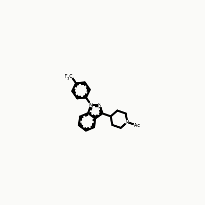 CC(=O)N1CCC(c2nn(-c3ccc(C(F)(F)F)cc3)c3ccccc23)CC1